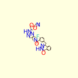 CN(C)C[C@H]1OC[C@H](Nc2ncc3c(n2)CN(C(=O)c2cc(Cc4n[nH]c(=O)c5ccccc45)ccc2F)C3)CO1